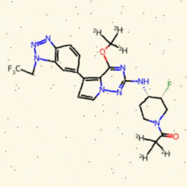 [2H]C([2H])([2H])Oc1nc(N[C@H]2CCN(C(=O)C([2H])([2H])[2H])C[C@H]2F)nn2ccc(-c3ccc4nnn(CC(F)(F)F)c4c3)c12